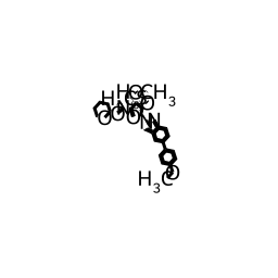 COc1ccc(-c2ccc3nn(CC[C@@](C)(C(=O)NOC4CCCCO4)S(C)(=O)=O)cc3c2)cc1